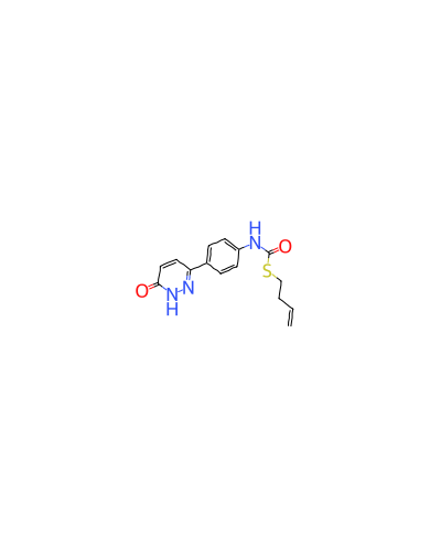 C=CCCSC(=O)Nc1ccc(-c2ccc(=O)[nH]n2)cc1